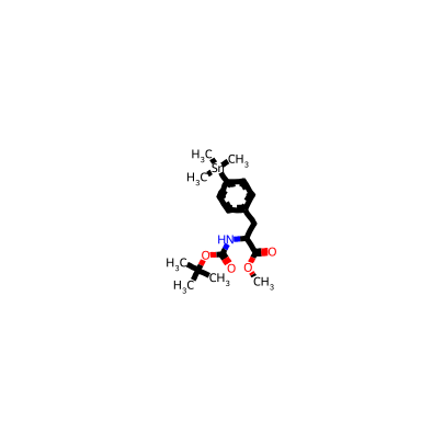 COC(=O)C(Cc1cc[c]([Sn]([CH3])([CH3])[CH3])cc1)NC(=O)OC(C)(C)C